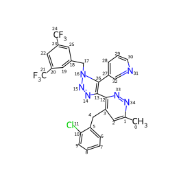 Cc1cc(Cc2ccccc2Cl)c(-c2nnn(Cc3cc(C(F)(F)F)cc(C(F)(F)F)c3)c2-c2cccnc2)nn1